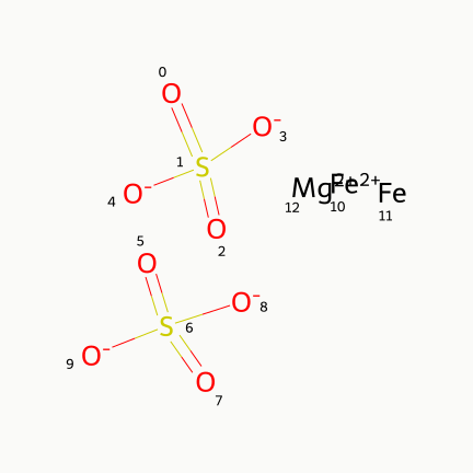 O=S(=O)([O-])[O-].O=S(=O)([O-])[O-].[Fe+2].[Fe].[Mg+2]